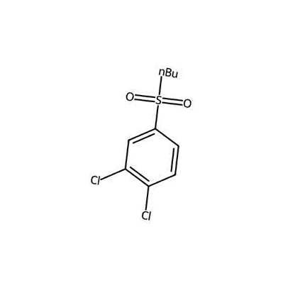 CCCCS(=O)(=O)c1ccc(Cl)c(Cl)c1